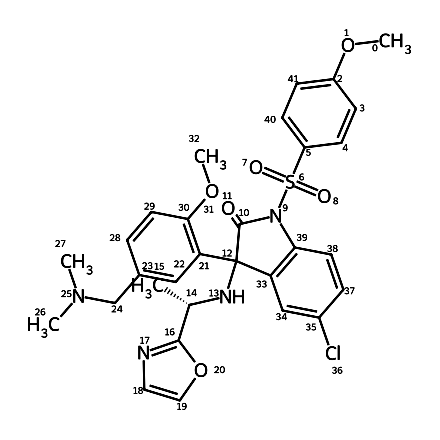 COc1ccc(S(=O)(=O)N2C(=O)C(N[C@@H](C)c3ncco3)(c3cc(CN(C)C)ccc3OC)c3cc(Cl)ccc32)cc1